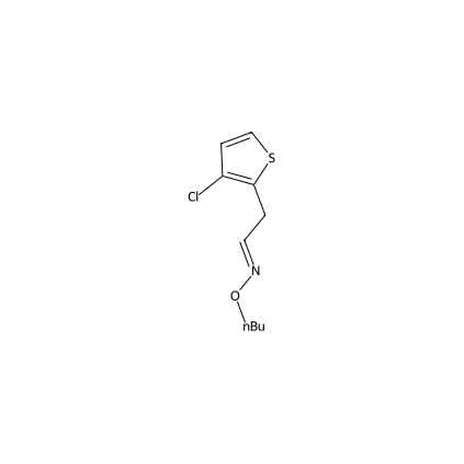 CCCCON=CCc1sccc1Cl